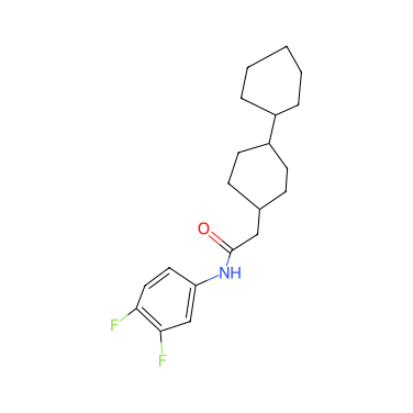 O=C(CC1CCC(C2CCCCC2)CC1)Nc1ccc(F)c(F)c1